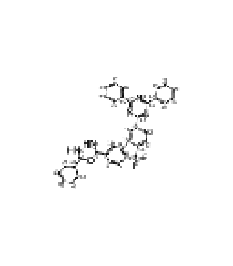 N=C(OC(=N)c1ccc2c(c1)-c1cc(-c3nc(-c4ccccc4)nc(-c4ccccc4)n3)ccc1C2(F)F)c1ccccc1